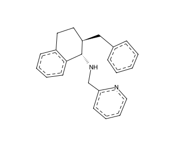 c1ccc(C[C@@H]2CCc3ccccc3[C@H]2NCc2ccccn2)cc1